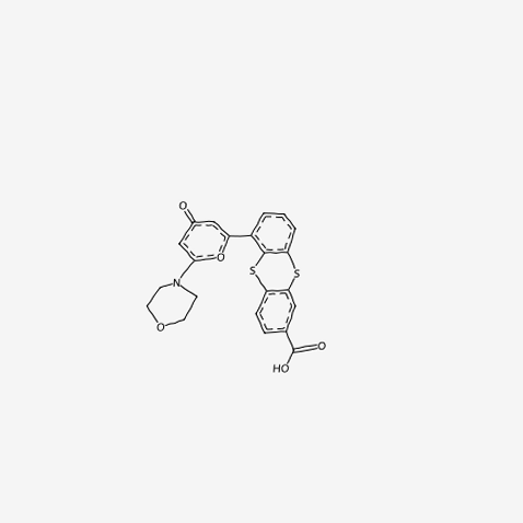 O=C(O)c1ccc2c(c1)Sc1cccc(-c3cc(=O)cc(N4CCOCC4)o3)c1S2